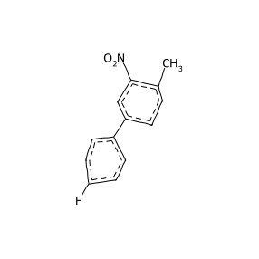 Cc1ccc(-c2ccc(F)cc2)cc1[N+](=O)[O-]